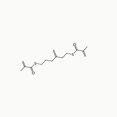 C=C(C)C(=O)SCCCC(=S)CCSC(=O)C(=C)C